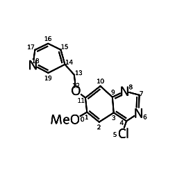 COc1cc2c(Cl)ncnc2cc1OCc1cccnc1